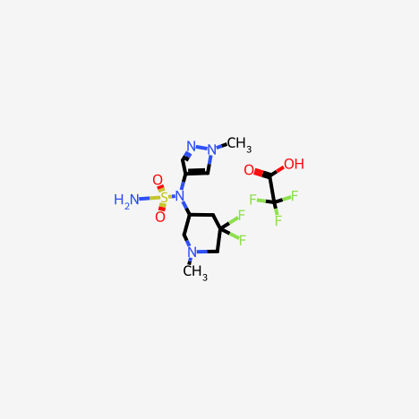 CN1CC(N(c2cnn(C)c2)S(N)(=O)=O)CC(F)(F)C1.O=C(O)C(F)(F)F